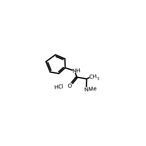 CNC(C)C(=O)Nc1ccccc1.Cl